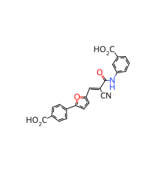 N#C/C(=C\c1ccc(-c2ccc(C(=O)O)cc2)o1)C(=O)Nc1cccc(C(=O)O)c1